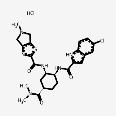 CN1Cc2nc(C(=O)N[C@@H]3C[C@@H](C(=O)N(C)C)CC[C@@H]3NC(=O)c3cc4cc(Cl)ccc4[nH]3)sc2C1.Cl